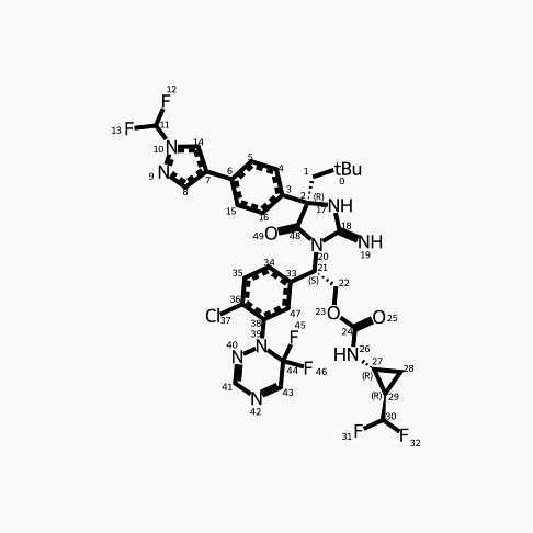 CC(C)(C)C[C@]1(c2ccc(-c3cnn(C(F)F)c3)cc2)NC(=N)N([C@H](COC(=O)N[C@@H]2C[C@H]2C(F)F)c2ccc(Cl)c(N3N=CN=CC3(F)F)c2)C1=O